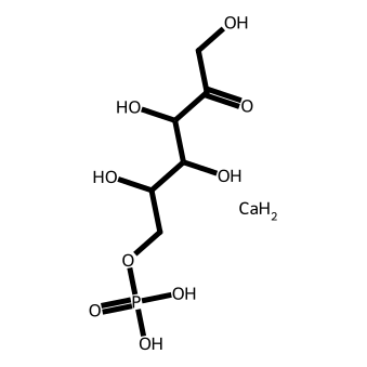 O=C(CO)C(O)C(O)C(O)COP(=O)(O)O.[CaH2]